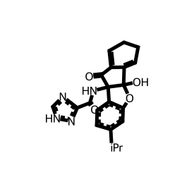 CC(C)c1ccc2c(c1)OC1(O)C3=CCCC=C3C(=O)C21NC(=O)c1nc[nH]n1